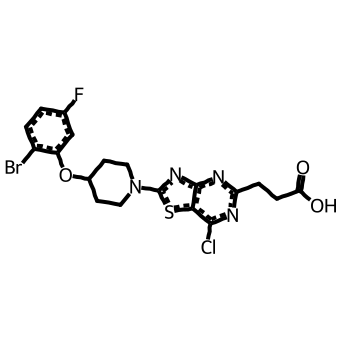 O=C(O)CCc1nc(Cl)c2sc(N3CCC(Oc4cc(F)ccc4Br)CC3)nc2n1